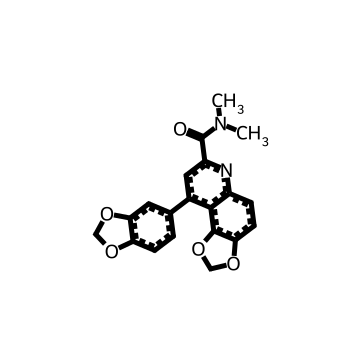 CN(C)C(=O)c1cc(-c2ccc3c(c2)OCO3)c2c3c(ccc2n1)OCO3